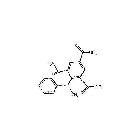 C[C@H](c1ccccc1)c1c(C(N)=O)cc(C(N)=O)cc1C(N)=O